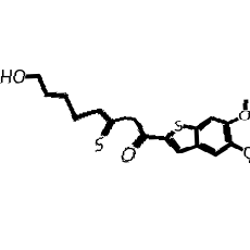 COc1cc2cc(C(=O)CC(=S)CCCCCO)sc2cc1OC